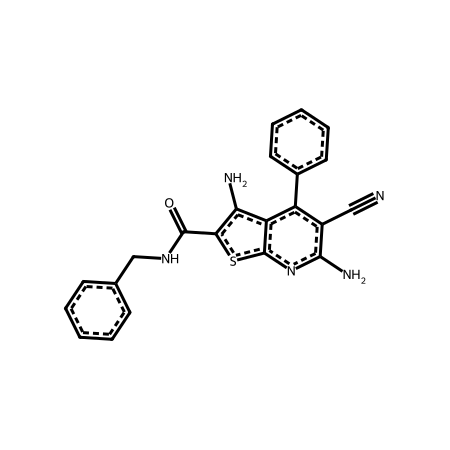 N#Cc1c(N)nc2sc(C(=O)NCc3ccccc3)c(N)c2c1-c1ccccc1